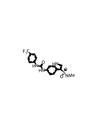 CNS(=O)(=O)c1c[nH]c2cc(NC(=O)Nc3ccc(C(F)(F)F)cc3)ccc12